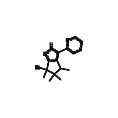 CCC1(C)c2n[nH]c(-c3ccccn3)c2C(C)C1(C)C